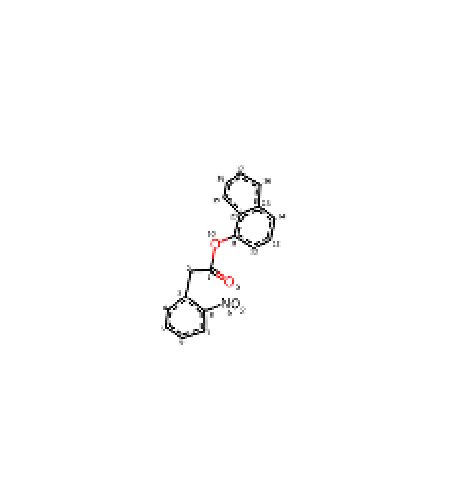 O=C(Cc1ccccc1[N+](=O)[O-])Oc1cccc2ccccc12